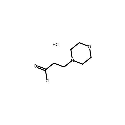 Cl.O=C(Cl)CCN1CCOCC1